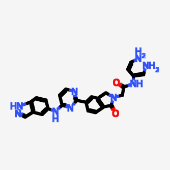 N/C=C\C(=C/N)NC(=O)CN1Cc2cc(-c3nccc(Nc4ccc5[nH]ncc5c4)n3)ccc2C1=O